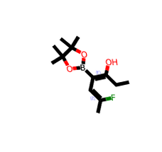 CC/C(O)=C(\C=C(\C)F)B1OC(C)(C)C(C)(C)O1